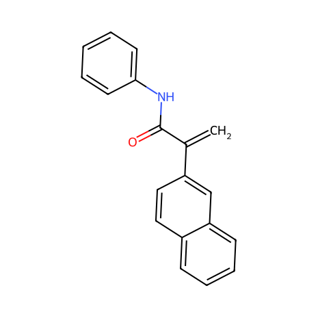 C=C(C(=O)Nc1ccccc1)c1ccc2ccccc2c1